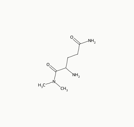 CN(C)C(=O)C(N)CCC(N)=O